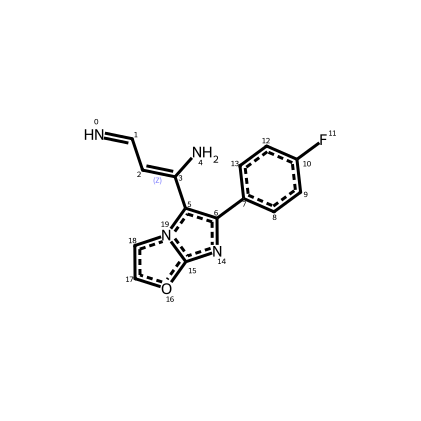 N=C/C=C(\N)c1c(-c2ccc(F)cc2)nc2occn12